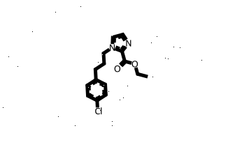 CCOC(=O)c1nccn1CCCc1ccc(Cl)cc1